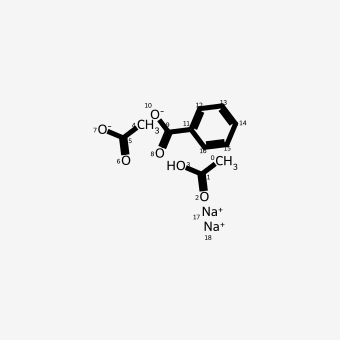 CC(=O)O.CC(=O)[O-].O=C([O-])c1ccccc1.[Na+].[Na+]